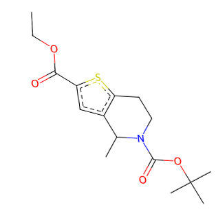 CCOC(=O)c1cc2c(s1)CCN(C(=O)OC(C)(C)C)C2C